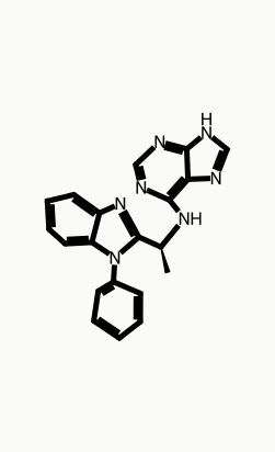 C[C@H](Nc1ncnc2[nH]cnc12)c1nc2ccccc2n1-c1ccccc1